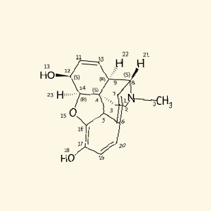 CN1CC[C@@]23C4C5=C[C@@H]1[C@@H]2C=C[C@H](O)[C@@H]3OC4=C(O)C=C5